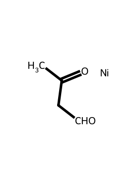 CC(=O)CC=O.[Ni]